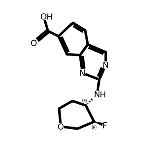 O=C(O)c1ccc2cnc(N[C@H]3CCOC[C@@H]3F)nc2c1